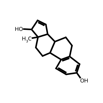 CC12CCC3c4ccc(O)cc4CCC3C1C=CC2O